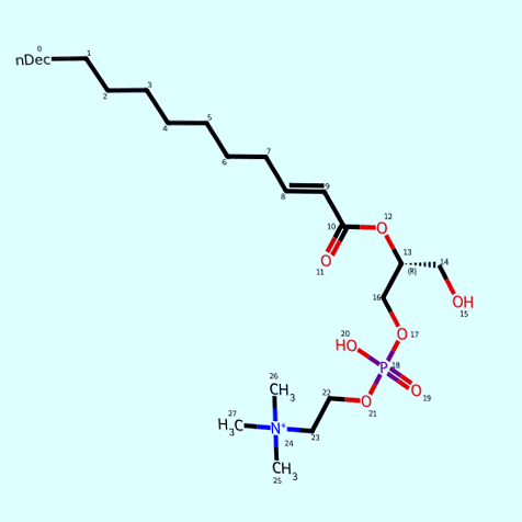 CCCCCCCCCCCCCCCCCC=CC(=O)O[C@H](CO)COP(=O)(O)OCC[N+](C)(C)C